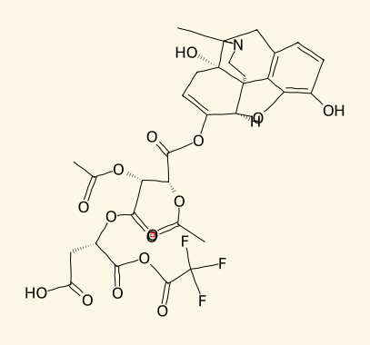 CC(=O)O[C@@H](C(=O)OC1=CC[C@@]2(O)C3Cc4ccc(O)c5c4[C@@]2(CCN3C)[C@H]1O5)[C@@H](OC(C)=O)C(=O)O[C@@H](CC(=O)O)C(=O)OC(=O)C(F)(F)F